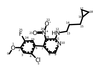 COc1cc(Cl)c(-c2ccnc(NCCCC3CC3)c2[N+](=O)[O-])cc1F